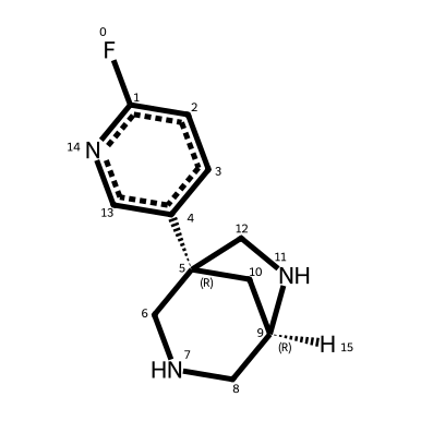 Fc1ccc([C@@]23CNC[C@@H](C2)NC3)cn1